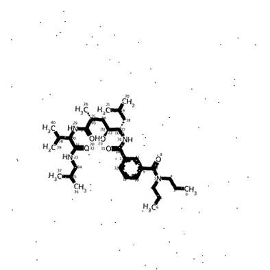 CCCN(CCC)C(=O)c1cccc(C(=O)N[C@@H](CC(C)C)[C@@H](O)C[C@@H](C)C(=O)NC(C(=O)NCC(C)C)C(C)C)c1